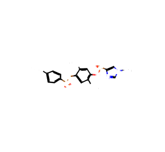 Cc1ccc(S(=O)(=O)Sc2cc(C)c(OS(=O)(=O)c3cn(C)cn3)cc2C(C)(C)C)cc1